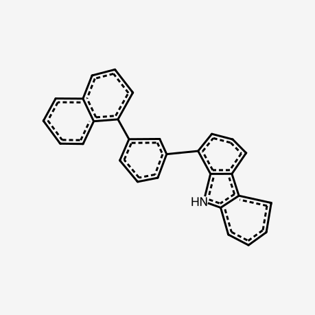 c1cc(-c2cccc3ccccc23)cc(-c2cccc3c2[nH]c2ccccc23)c1